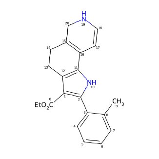 CCOC(=O)c1c(-c2ccccc2C)[nH]c2c1CCC1=C2C=CNC1